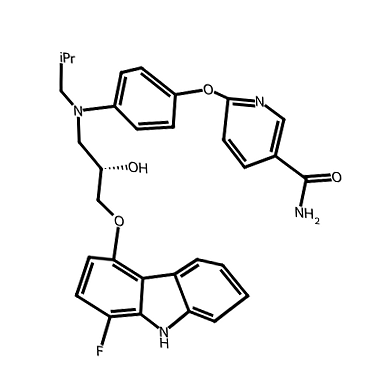 CC(C)CN(C[C@H](O)COc1ccc(F)c2[nH]c3ccccc3c12)c1ccc(Oc2ccc(C(N)=O)cn2)cc1